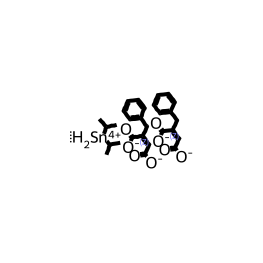 C[CH](C)[SnH2+4][CH](C)C.O=C([O-])/C=C(/Cc1ccccc1)C(=O)[O-].O=C([O-])/C=C(/Cc1ccccc1)C(=O)[O-]